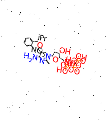 C=C1N=C(N)C(CO[C@H](c2ccccc2[N+](=O)[O-])C(C)C)=CN1[C@H]1CC(O)[C@@H](COP(=O)(O)OP(=O)(O)OP(=O)(O)O)O1